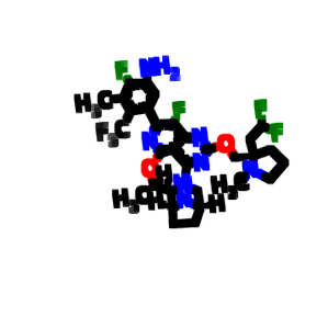 Cc1c(F)c(N)cc(-c2nc3c4c(nc(OC[C@@]5(CC(F)F)CCCN5C)nc4c2F)N2C[C@H]4CC[C@H](N4)[C@H]2[C@H](C)O3)c1C(F)(F)F